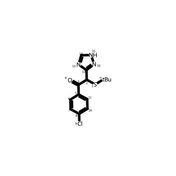 CC(C)(C)SC(C(=O)c1ccc(Cl)cc1)c1nc[nH]n1